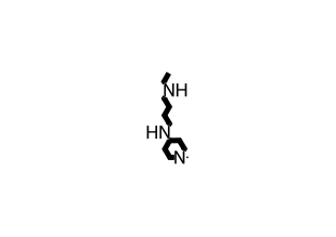 CCNCCCCNC1CC[N]CC1